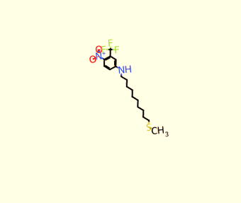 CSCCCCCCCCCCNc1ccc([N+](=O)[O-])c(C(F)(F)F)c1